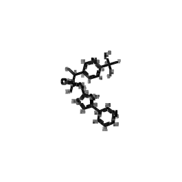 CC(c1ccc(C(C)(F)F)nc1)S(C)(=O)=Nc1nc(-c2cccnc2)cs1